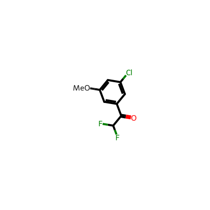 COc1cc(Cl)cc(C(=O)C(F)F)c1